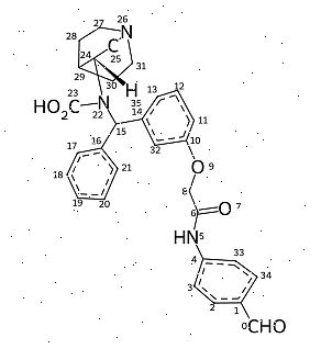 O=Cc1ccc(NC(=O)COc2cccc(C(c3ccccc3)N(C(=O)O)[C@H]3CN4CCC3CC4)c2)cc1